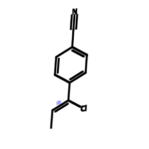 C/C=C(\Cl)c1ccc(C#N)cc1